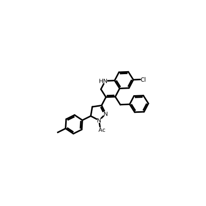 CC(=O)N1N=C(C2=C(Cc3ccccc3)c3cc(Cl)ccc3NC2)CC1c1ccc(C)cc1